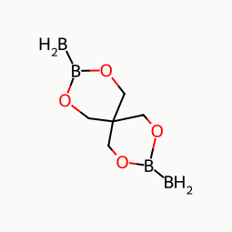 BB1OCC2(CO1)COB(B)OC2